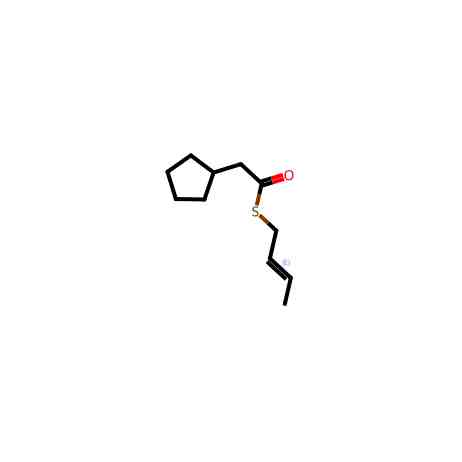 C/C=C/CSC(=O)CC1CCCC1